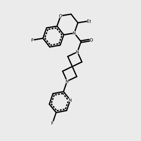 CCC1COc2cc(F)ccc2N1C(=O)N1CC2(C1)CN(c1ccc(F)cn1)C2